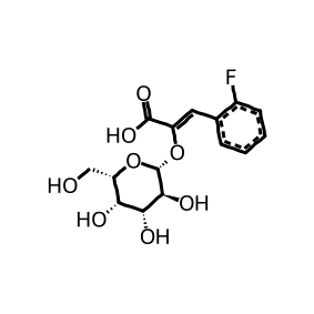 O=C(O)/C(=C/c1ccccc1F)O[C@H]1O[C@@H](CO)[C@@H](O)[C@@H](O)[C@@H]1O